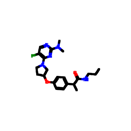 CCCNC(=O)C(C)c1ccc(OC2CCN(c3nc(N(C)C)ncc3F)C2)cc1